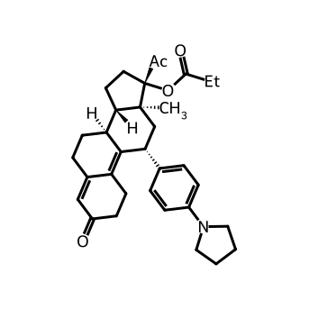 CCC(=O)O[C@@]1(C(C)=O)CC[C@H]2[C@@H]3CCC4=CC(=O)CCC4=C3[C@@H](c3ccc(N4CCCC4)cc3)C[C@@]21C